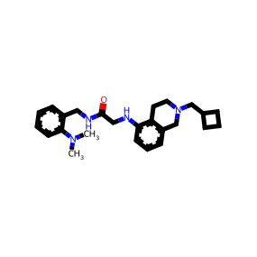 CN(C)c1ccccc1CNC(=O)CNc1cccc2c1CCN(CC1CCC1)C2